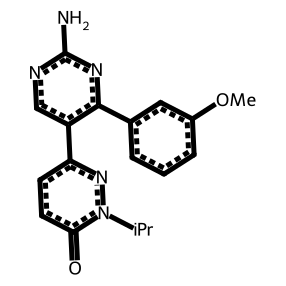 COc1cccc(-c2nc(N)ncc2-c2ccc(=O)n(C(C)C)n2)c1